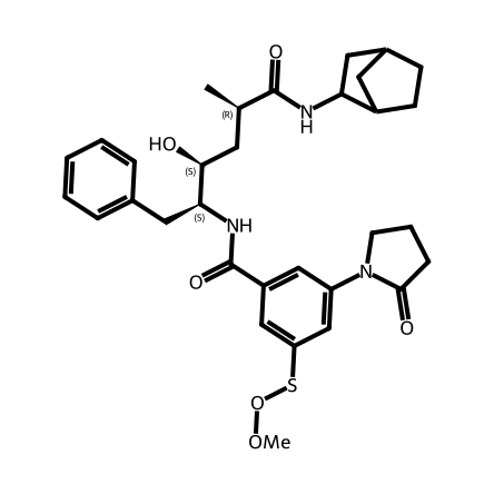 COOSc1cc(C(=O)N[C@@H](Cc2ccccc2)[C@@H](O)C[C@@H](C)C(=O)NC2CC3CCC2C3)cc(N2CCCC2=O)c1